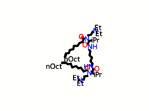 CCCCCCCC/C=C\CCCCCCCC(=O)N(CCCN(CC)CC)C(C(=O)NCCCCCCNC(=O)C(C(C)C)N(CCCN(CC)CC)C(=O)CCCCCCC/C=C\CCCCCCCC)C(C)C